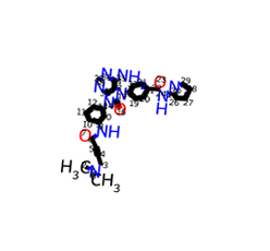 CN(C)CC#CC(=O)Nc1cccc(-n2c(=O)n(-c3ccc(C(=O)Nc4ccccn4)cc3)c3c(N)ncnc32)c1